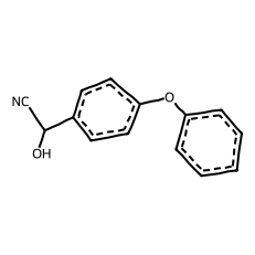 N#CC(O)c1ccc(Oc2ccccc2)cc1